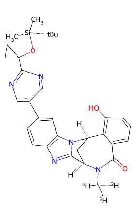 [2H]C([2H])([2H])N1C(=O)c2cccc(O)c2[C@H]2C[C@@H]1c1nc3ccc(-c4cnc(C5(O[Si](C)(C)C(C)(C)C)CC5)nc4)cc3n12